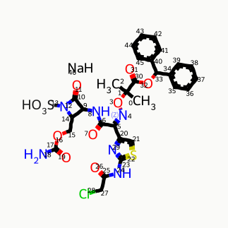 CC(C)(O/N=C(\C(=O)NC1C(=O)N(S(=O)(=O)O)C1COC(N)=O)c1csc(NC(=O)CCl)n1)C(=O)OC(c1ccccc1)c1ccccc1.[NaH]